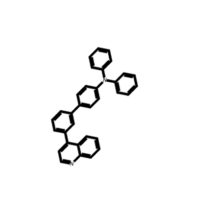 c1ccc(N(c2ccccc2)c2ccc(-c3cccc(-c4ccnc5ccccc45)c3)cc2)cc1